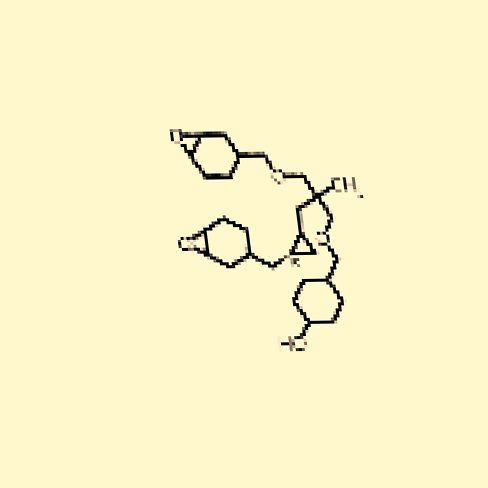 CC(COCC1CCC(O)CC1)(COCC1CCC2OC2C1)CC1C[C@H]1CC1CCC2OC2C1